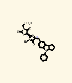 CCn1c(=O)/c(=C\c2ccc3c(c2)C2CCCC2N3c2ccccc2)s/c1=C1/SC(=S)N(CC(=O)O)C1=O